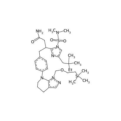 CCC(C)(C)Cc1cn(S(=O)(=O)N(C)C)c(C(CC(N)=O)Cc2ccc(N3CCCc4cnn(COCC[Si](C)(C)C)c43)cc2)n1